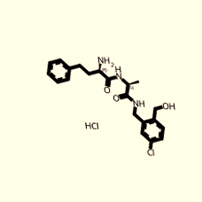 C[C@H](NC(=O)[C@H](N)CCc1ccccc1)C(=O)NCc1cc(Cl)ccc1CO.Cl